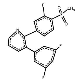 CS(=O)(=O)c1ccc(-c2ncccc2-c2cc(F)cc(F)c2)cc1F